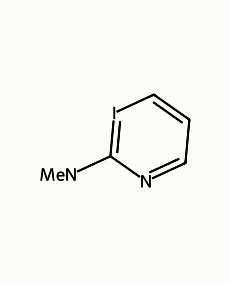 CNC1=IC=CC=N1